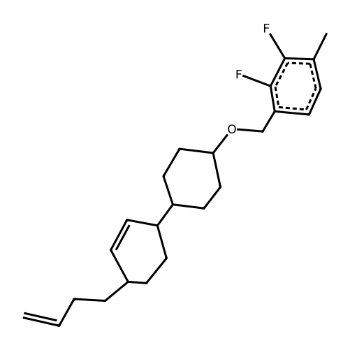 C=CCCC1C=CC(C2CCC(OCc3ccc(C)c(F)c3F)CC2)CC1